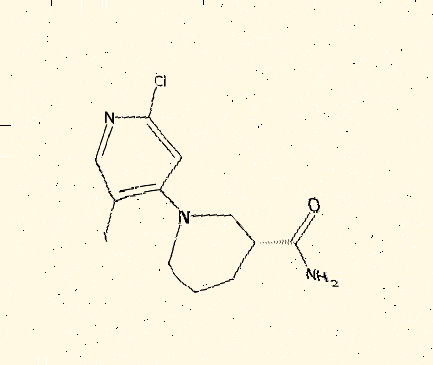 NC(=O)[C@@H]1CCCN(c2cc(Cl)ncc2I)C1